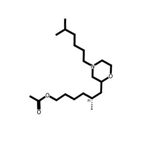 CC(=O)OCCCC[C@@H](C)CC1CN(CCCCC(C)C)CCO1